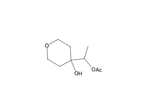 CC(=O)OC(C)C1(O)CCOCC1